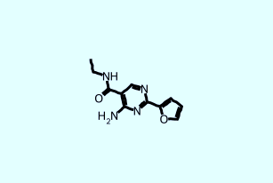 CCNC(=O)c1cnc(-c2ccco2)nc1N